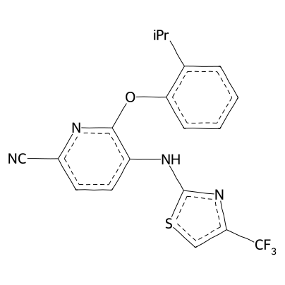 CC(C)c1ccccc1Oc1nc(C#N)ccc1Nc1nc(C(F)(F)F)cs1